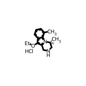 CCOc1c2n(c3c(C)cccc13)[C@H](C)CNC2.Cl